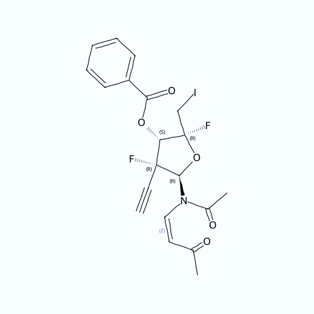 C#C[C@]1(F)[C@H](N(/C=C\C(C)=O)C(C)=O)O[C@](F)(CI)[C@H]1OC(=O)c1ccccc1